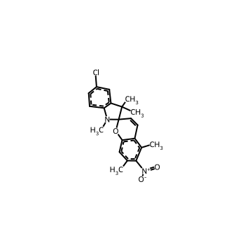 Cc1cc2c(c(C)c1[N+](=O)[O-])C=CC1(O2)N(C)c2ccc(Cl)cc2C1(C)C